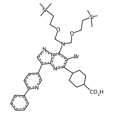 C[Si](C)(C)CCOCN(COCC[Si](C)(C)C)c1c(Br)c(C2CCC(C(=O)O)CC2)nc2c(-c3ccc(-c4ccccc4)nc3)cnn12